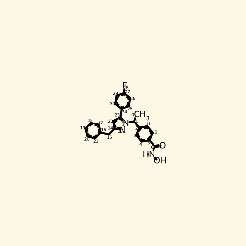 CC(c1ccc(C(=O)NO)cc1)n1nc(Cc2ccccc2)cc1-c1ccc(F)cc1